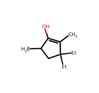 BC1CC(CC)(CC)C(C)=C1O